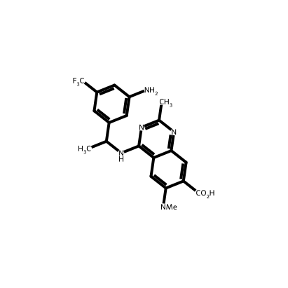 CNc1cc2c(NC(C)c3cc(N)cc(C(F)(F)F)c3)nc(C)nc2cc1C(=O)O